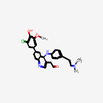 COc1cc(-c2ccc3ncc(CC=O)c(Nc4ccc(CCN(C)C)cc4)c3c2)cc(Cl)c1O